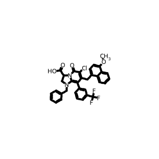 COc1ccc(Cc2c(-c3cccc(C(F)(F)F)c3)c3n(c(=O)c2Cl)C(C(=O)O)CN3Cc2ccccc2)c2ccccc12